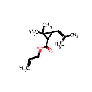 C=CCOC(=O)C1C(C=C(C)C)C1(C)C